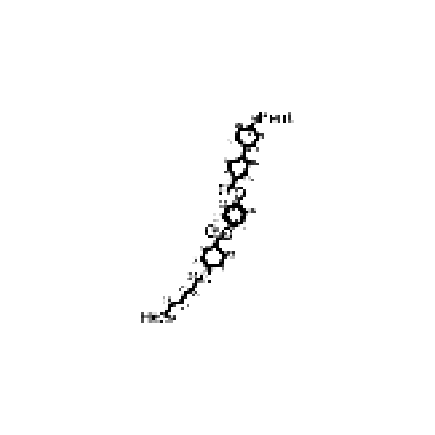 CCCCCC1CCC(C2CCC(C(=O)Oc3ccc(OC(=O)C4CCC(OCCCCCCO)CC4)cc3)CC2)CC1